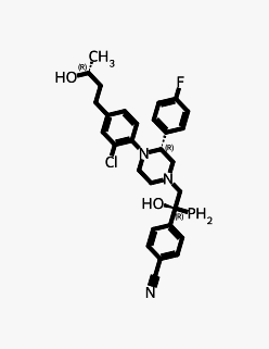 C[C@@H](O)CCc1ccc(N2CCN(C[C@](O)(P)c3ccc(C#N)cc3)C[C@H]2c2ccc(F)cc2)c(Cl)c1